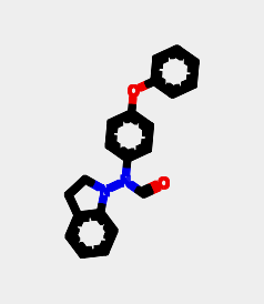 O=CN(c1ccc(Oc2ccccc2)cc1)N1CCc2ccccc21